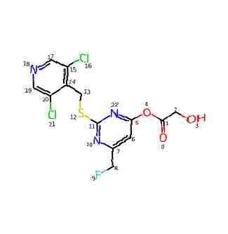 O=C(CO)Oc1cc(CF)nc(SCc2c(Cl)cncc2Cl)n1